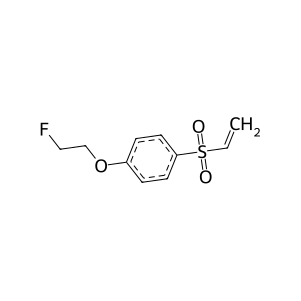 C=CS(=O)(=O)c1ccc(OCCF)cc1